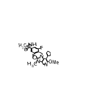 COc1ncc2c(c1C1=CCCC1)n(Cc1c(F)cc([S@](C)(=N)=O)cc1F)c(=O)n2C